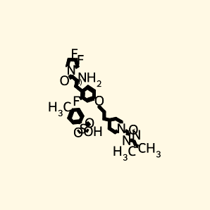 CC(C)c1noc(N2CCC(CCCOc3ccc(C[C@H](N)C(=O)N4CCC(F)(F)C4)c(F)c3)CC2)n1.Cc1ccc(S(=O)(=O)O)cc1